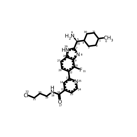 CC1CCC([C@H](N)c2nc3c(F)c(-c4cc(C(=O)NCCCCl)ccn4)ccc3[nH]2)CC1